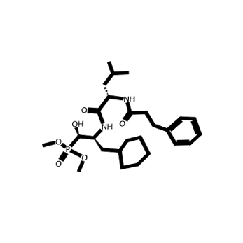 COP(=O)(OC)[C@@H](O)[C@H](CC1CCCCC1)NC(=O)[C@H](CC(C)C)NC(=O)CCc1ccccc1